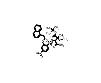 COC(C)(C(=O)OC(C)(C)C)C(NS(=O)(=O)c1ccc([N+](=O)[O-])cc1OCCc1cccc2ccccc12)C(N)=O